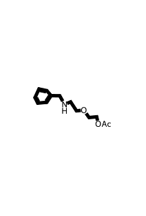 CC(=O)OCCOCCNCc1ccccc1